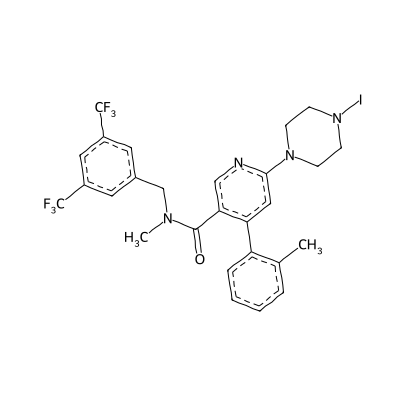 Cc1ccccc1-c1cc(N2CCN(I)CC2)ncc1C(=O)N(C)Cc1cc(C(F)(F)F)cc(C(F)(F)F)c1